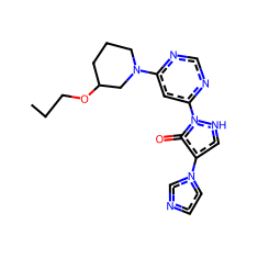 CCCOC1CCCN(c2cc(-n3[nH]cc(-n4ccnc4)c3=O)ncn2)C1